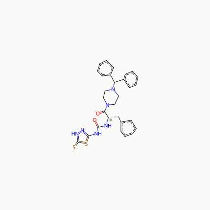 O=C(Nc1n[nH]c(=S)s1)N[C@@H](Cc1ccccc1)C(=O)N1CCN(C(c2ccccc2)c2ccccc2)CC1